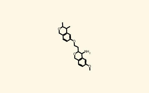 COc1ccc2c(c1)C(N)C(CCOc1ccc3c(c1)C(C)C(C)OC3)OC2